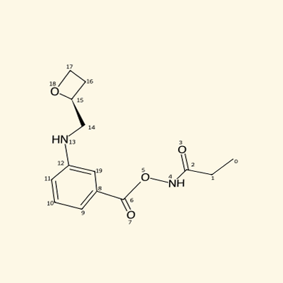 CCC(=O)NOC(=O)c1cccc(NC[C@@H]2CCO2)c1